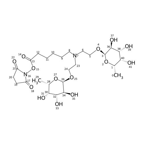 C[C@@H]1O[C@@H](OCCN(CCCCCC(=O)ON2C(=O)CCC2=O)CCO[C@@H]2O[C@@H](C)[C@@H](O)[C@@H](O)[C@@H]2O)[C@@H](O)[C@H](O)[C@@H]1O